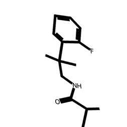 CC(C)C(=O)NCC(C)(C)c1ccccc1F